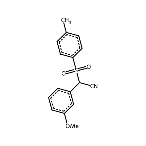 COc1cccc(C(C#N)S(=O)(=O)c2ccc(C)cc2)c1